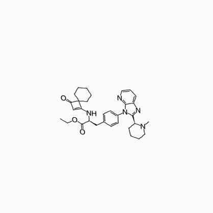 CCOC(=O)[C@H](Cc1ccc(-n2c([C@@H]3CCCCN3C)nc3cccnc32)cc1)NC1=CC(=O)C12CCCCC2